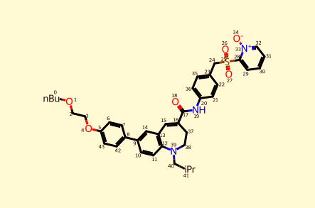 CCCCOCCOc1ccc(-c2ccc3c(c2)C=C(C(=O)Nc2ccc(CS(=O)(=O)c4cccc[n+]4[O-])cc2)CCN3CC(C)C)cc1